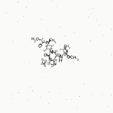 C=CC(=O)N(C)C1CC(n2cc(Nc3cn(C)nc3OC)c3ncc(C45CC(C4)C5)n3c2=O)C1